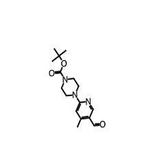 Cc1cc(N2CCN(C(=O)OC(C)(C)C)CC2)ncc1C=O